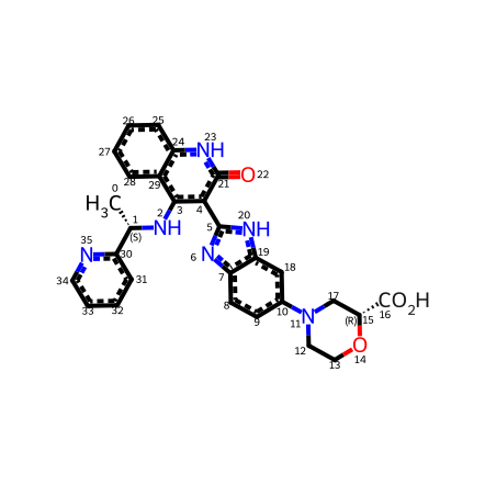 C[C@H](Nc1c(-c2nc3ccc(N4CCO[C@@H](C(=O)O)C4)cc3[nH]2)c(=O)[nH]c2ccccc12)c1ccccn1